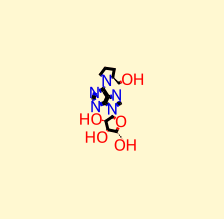 OC[C@@H]1CCCN1c1ncnc2c1ncn2[C@@H]1O[C@H](CO)C(O)[C@@H]1O